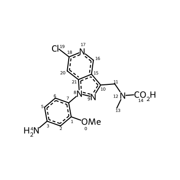 COc1cc(N)ccc1-n1nc(CN(C)C(=O)O)c2cnc(Cl)cc21